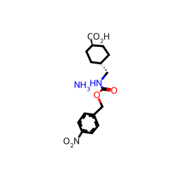 N.O=C(NC[C@H]1CC[C@H](C(=O)O)CC1)OCc1ccc([N+](=O)[O-])cc1